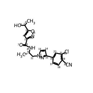 CC(O)c1cc(C(=O)N[C@@H](C)Cn2ccc(-c3ccc(C#N)c(Cl)c3)n2)no1